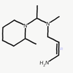 CC1CCCCN1C(C)N(C)C/C=C\N